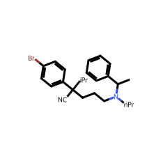 CCCN(CCCC(C#N)(c1ccc(Br)cc1)C(C)C)C(C)c1ccccc1